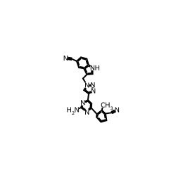 Cc1c(C#N)cccc1-c1cc(-c2cn(Cc3c[nH]c4ccc(C#N)cc34)nn2)nc(N)n1